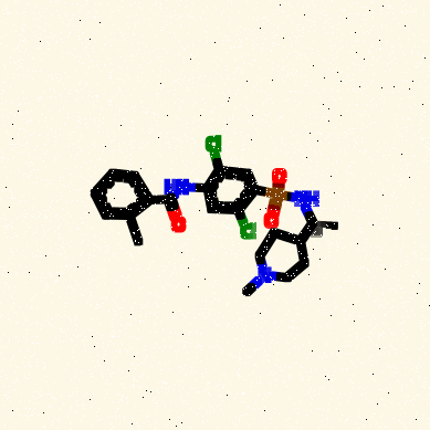 Cc1ccccc1C(=O)Nc1cc(Cl)c(S(=O)(=O)N[C@H](C)C2CCN(C)CC2)cc1Cl